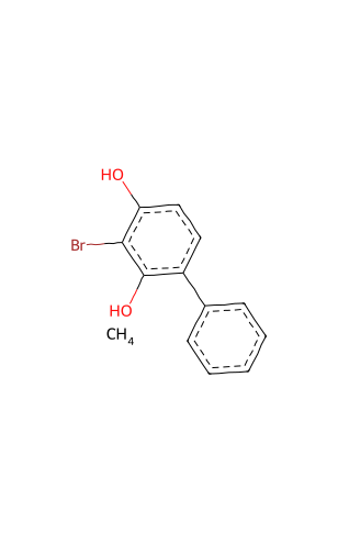 C.Oc1ccc(-c2ccccc2)c(O)c1Br